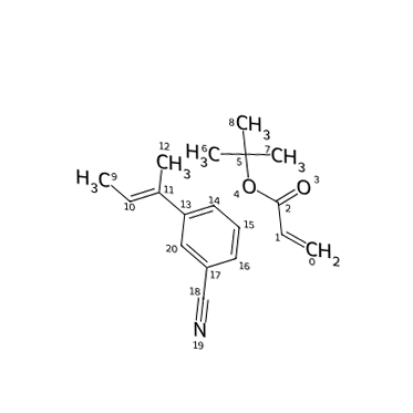 C=CC(=O)OC(C)(C)C.CC=C(C)c1cccc(C#N)c1